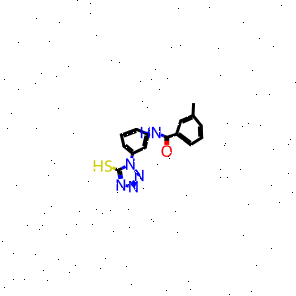 Cc1cccc(C(=O)Nc2cccc(-n3nnnc3S)c2)c1